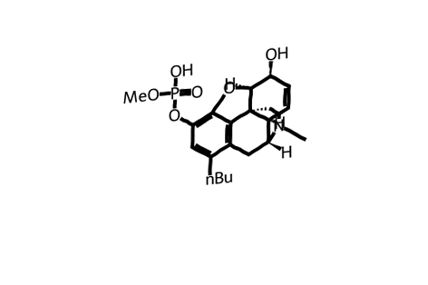 CCCCc1cc(OP(=O)(O)OC)c2c3c1C[C@@H]1[C@@H]4C=C[C@H](O)[C@H](O2)[C@]34CCN1C